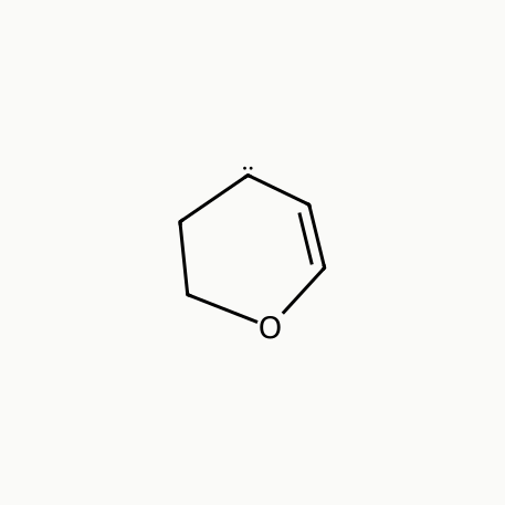 [C]1C=COCC1